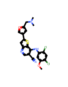 COc1cc(Nc2c(C#N)cnc3cc(-c4coc(CN(C)C)c4)sc23)c(Cl)cc1Cl